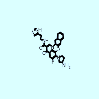 NC1CCN(c2c(F)cc3c(=O)c(C(=O)NCCc4cnc[nH]4)cn4c3c2Oc2cc3ccccc3cc2-4)C1